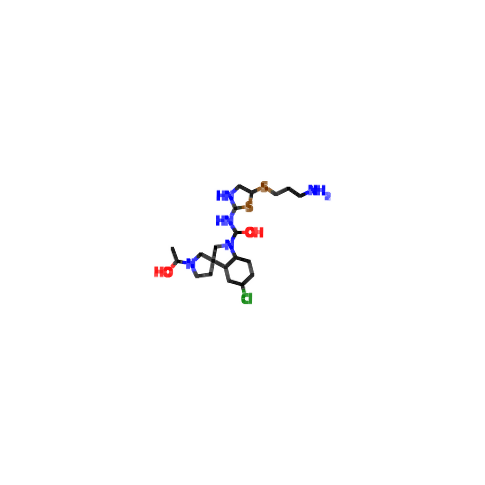 CC(O)N1CCC2(C1)CN(C(O)NC1NCC(SCCCN)S1)C1CCC(Cl)CC12